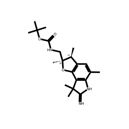 Cc1cc2c(c3c1NC(=N)C3(C)C)O[C@@](C)(CNC(=O)OC(C)(C)C)[C@H]2C